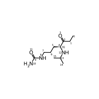 CCC(=O)[C@H](CCCNC(N)=O)NC(C)C